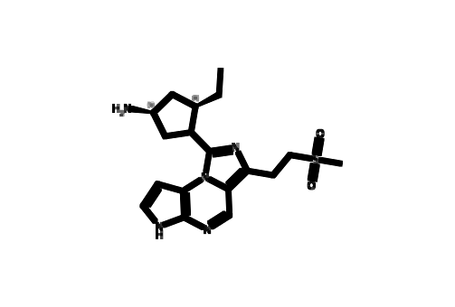 CC[C@@H]1C[C@H](N)CC1c1nc(CCS(C)(=O)=O)c2cnc3[nH]ccc3n12